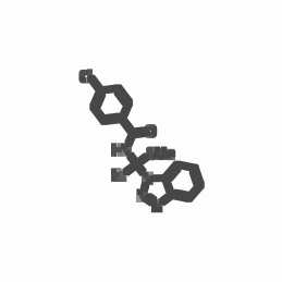 CCC(NC(=O)c1ccc(Cl)cc1)(SC)n1nnc2ccccc21